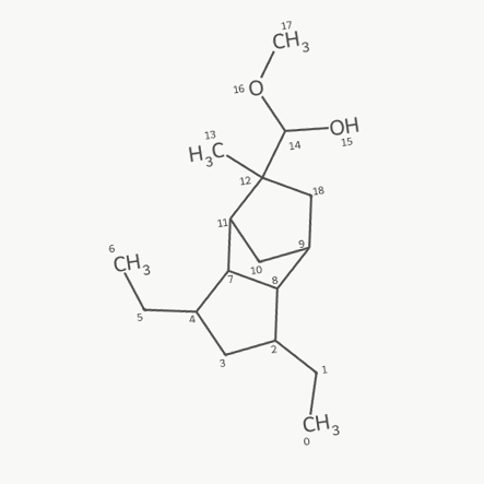 CCC1CC(CC)C2C1C1CC2C(C)(C(O)OC)C1